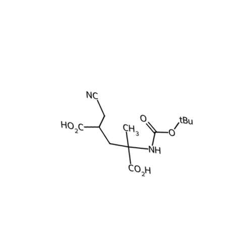 CC(C)(C)OC(=O)NC(C)(CC(CC#N)C(=O)O)C(=O)O